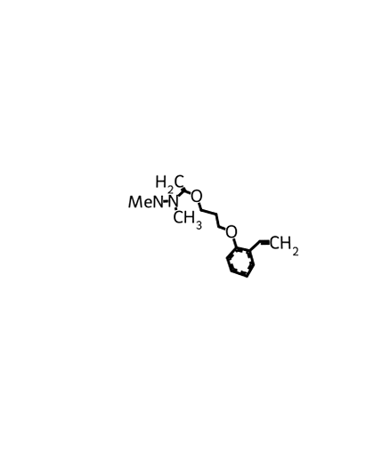 C=Cc1ccccc1OCCCOC(=C)N(C)NC